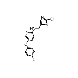 Fc1ccc(Oc2ccc(NCc3cnc(Cl)s3)nc2)cc1